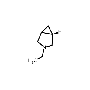 CCN1CC2C[C@@H]2C1